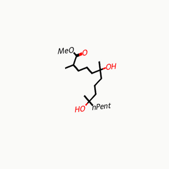 CCCCCC(C)(O)CCCC(C)(O)CCCC(C)C(=O)OC